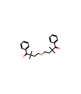 CC(C)(CCSCCC(C)(C)C(=O)c1ccccc1)C(=O)c1ccccc1